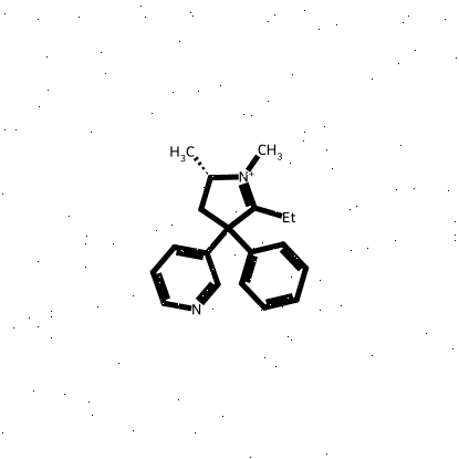 CCC1=[N+](C)[C@@H](C)CC1(c1ccccc1)c1cccnc1